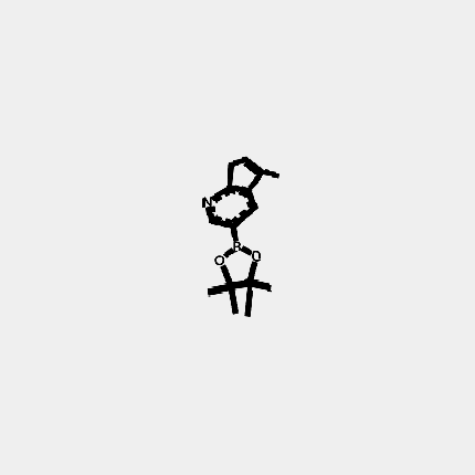 CC1=CCc2ncc(B3OC(C)(C)C(C)(C)O3)cc21